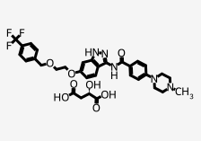 CN1CCN(c2ccc(C(=O)Nc3n[nH]c4cc(OCCOCc5ccc(C(F)(F)F)cc5)ccc34)cc2)CC1.O=C(O)C[C@H](O)C(=O)O